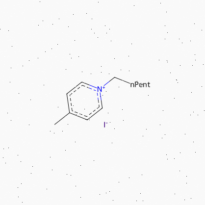 CCCCCC[n+]1ccc(C)cc1.[I-]